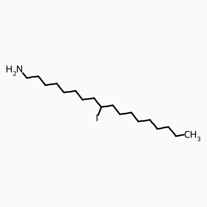 CCCCCCCCCC(I)CCCCCCCCN